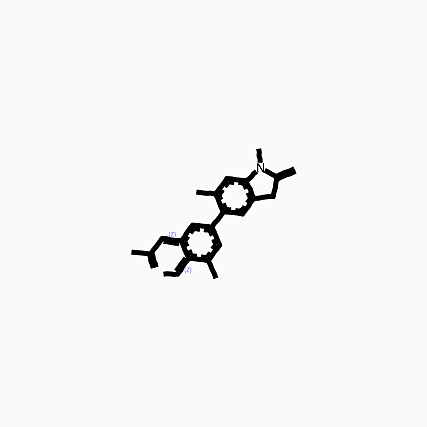 C=C(C)/C=c1/cc(-c2cc3c(cc2C)N(C)C(=C)C3)cc(C)/c1=C/C